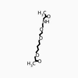 CC(=O)CNCCOCCOCCCCCOCC(C)=O